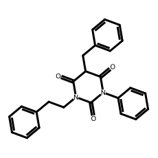 O=C1C(Cc2ccccc2)C(=O)N(c2ccccc2)C(=O)N1CCc1ccccc1